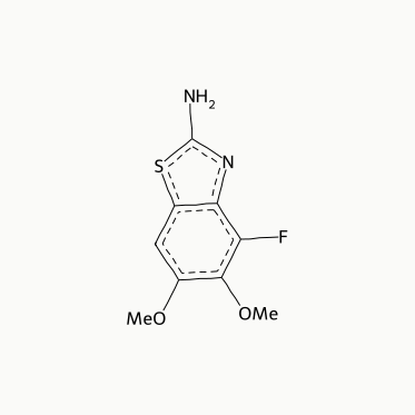 COc1cc2sc(N)nc2c(F)c1OC